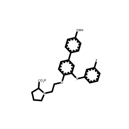 COc1ccc(-c2ccc(OCCN3CCCC3C(=O)O)c(Sc3cccc(F)c3)c2)cc1